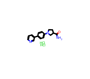 Cl.Cl.NC(=O)C1CCN(c2ccc(-c3cccnc3)cc2)C1